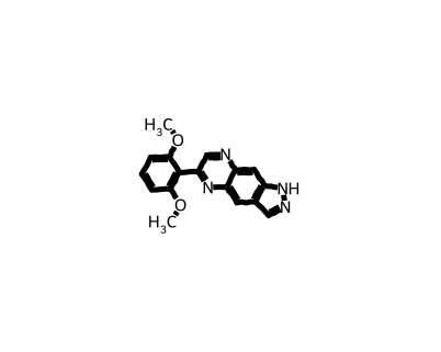 COc1cccc(OC)c1-c1cnc2cc3[nH]ncc3cc2n1